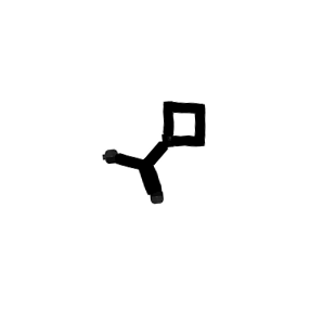 [O]C(=O)N1CCC1